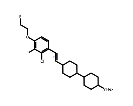 CCCCCCC1CCC(C2CCC(/C=C/c3ccc(OCCF)c(F)c3Cl)CC2)CC1